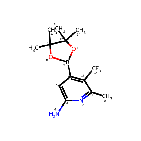 Cc1nc(N)cc(B2OC(C)(C)C(C)(C)O2)c1C(F)(F)F